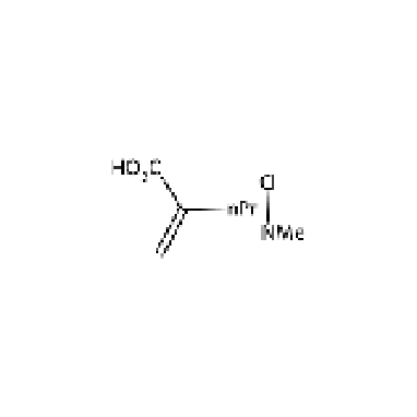 C=C(CCC)C(=O)O.CNCl